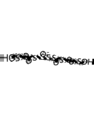 O=C(CSCC[S+]([O-])CSCSC(=O)CSCCOOCCSCO)OCCSCO